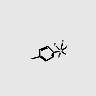 [CH2]c1ccc(S(F)(F)(F)(F)F)cc1